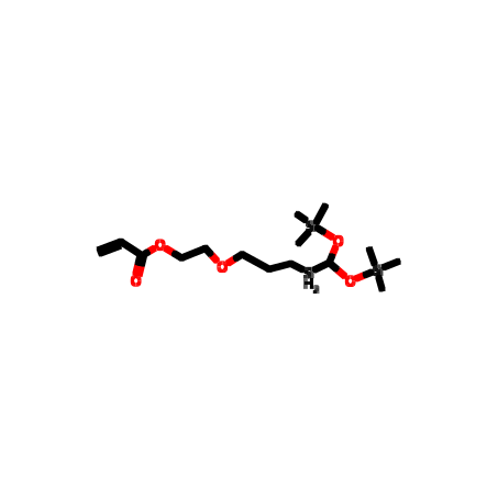 C=CC(=O)OCCOCCC[SiH2]C(O[Si](C)(C)C)O[Si](C)(C)C